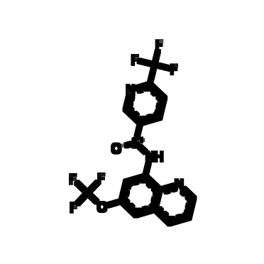 [O-][S+](Nc1cc(OC(F)(F)F)cc2cccnc12)c1ccc(C(F)(F)F)nc1